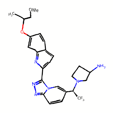 COCC(C)Oc1ccc2ccc(-c3nnc4ccc([C@@H](N5CCC(N)C5)C(F)(F)F)cn34)nc2c1